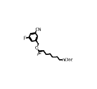 CCCCCCCCCCCCCCCC[C@@H](C)OCc1cc(F)cc(C#N)c1